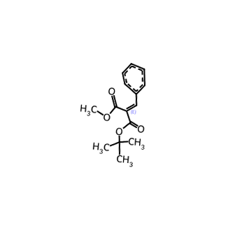 COC(=O)/C(=C\c1ccccc1)C(=O)OC(C)(C)C